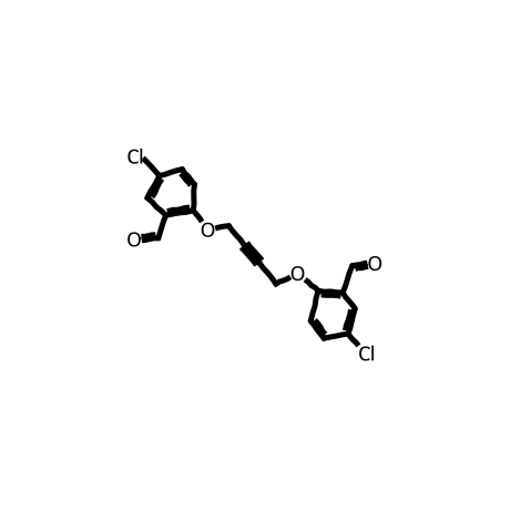 O=Cc1cc(Cl)ccc1OCC#CCOc1ccc(Cl)cc1C=O